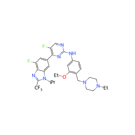 CCOc1cc(Nc2ncc(F)c(-c3cc(F)c4nc(C(F)(F)F)n(C(C)C)c4c3)n2)ccc1CN1CCN(CC)CC1